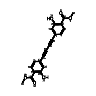 COC(=O)c1ccc(C#CC#Cc2ccc(C(=O)OC)c(O)c2)cc1O